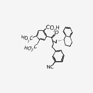 N#Cc1cccc(CN(C(=O)c2cc(C(=O)O)c(C(=O)O)cc2C(=O)O)[C@H]2CCCc3ccccc32)c1